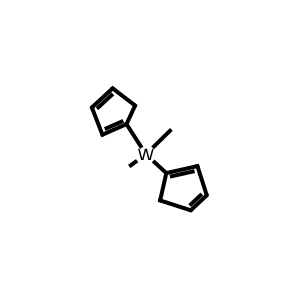 [CH3][W]([CH3])([C]1=CC=CC1)[C]1=CC=CC1